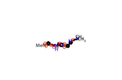 CNS(=O)(=O)c1cccc(OCC(O)CNC2COC3(CCN(S(=O)(=O)c4cccc(-c5ccc(OCCCN(C)C)nc5)c4)CC3)C2)c1